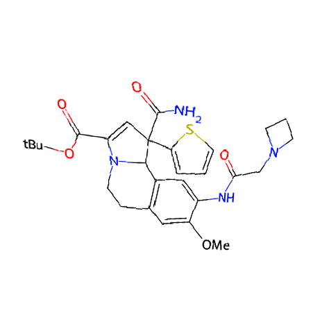 COc1cc2c(cc1NC(=O)CN1CCC1)C1N(CC2)C(C(=O)OC(C)(C)C)=CC1(C(N)=O)c1cccs1